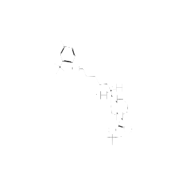 [2H]C([2H])(CCCCCOc1ccc(C)cc1C(C)(C)C)N1CCCN(C(=O)OC(C)(C)C)CC1